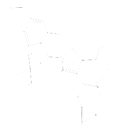 CCc1nn2c(-c3ccc(OC)cc3OC)c(C(C)(C)C)oc2c1N(CC1CC1)C(=O)O